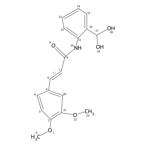 COc1ccc(/C=C/C(=O)Nc2ccccc2C(O)O)cc1OC